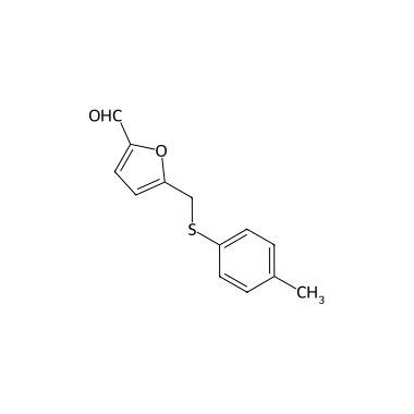 Cc1ccc(SCc2ccc(C=O)o2)cc1